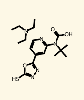 CC(C)(C)N(C(=O)O)c1cc(-c2nnc(S)o2)ccn1.CCN(CC)CC